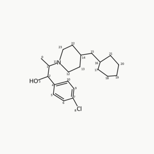 CC(C(O)c1ccc(Cl)cc1)N1CCC(CC2CCCCC2)CC1